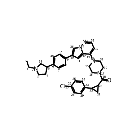 CCN1CCC(c2ccc(-c3cc4c(N5CCN(C(=O)C6CC6c6ccc(Cl)cc6)CC5)ccnn4c3)cc2)C1